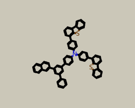 c1ccc(-c2cc(-c3ccc(N(c4ccc(-c5cccc6c5sc5ccccc56)cc4)c4ccc(-c5cccc6c5sc5ccccc56)cc4)cc3)cc(-c3ccc4ccccc4c3)c2)cc1